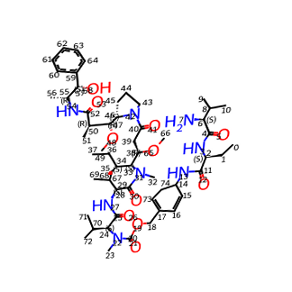 CC[C@H](NC(=O)[C@@H](N)C(C)C)C(=O)NC1C=CC(COC(=O)N(C)[C@H](C(=O)N[C@H](C(=O)N(C)[C@@H]([C@@H](C)CC)[C@@H](CC(=O)N2CCC[C@H]2[C@H](OC)[C@@H](C)C(=O)N[C@H](C)[C@@H](O)c2ccccc2)OC)C(C)C)C(C)C)=CC1